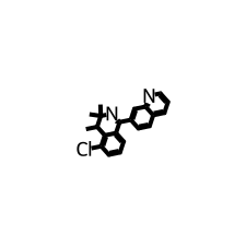 CC1c2c(Cl)cccc2C(c2ccc3cccnc3c2)=NC1(C)C